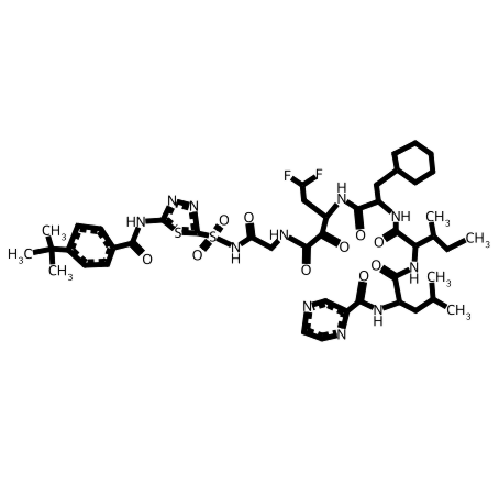 CCC(C)C(NC(=O)C(CC(C)C)NC(=O)c1cnccn1)C(=O)NC(CC1CCCCC1)C(=O)NC(CC(F)F)C(=O)C(=O)NCC(=O)NS(=O)(=O)c1nnc(NC(=O)c2ccc(C(C)(C)C)cc2)s1